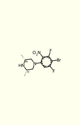 C[C@@H]1CN(c2cc(F)c(Br)c(F)c2[N+](=O)[O-])C[C@H](C)N1